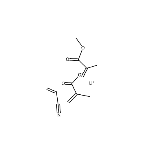 C=C(C)C(=O)OC.C=C(C)C(=O)[O-].C=CC#N.[Li+]